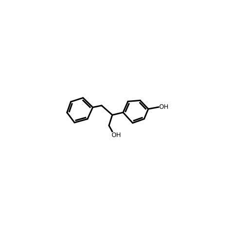 OCC(Cc1ccccc1)c1ccc(O)cc1